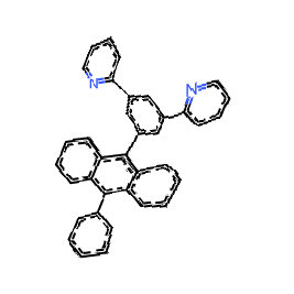 c1ccc(-c2c3ccccc3c(-c3cc(-c4ccccn4)cc(-c4ccccn4)c3)c3ccccc23)cc1